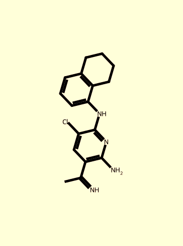 CC(=N)c1cc(Cl)c(Nc2cccc3c2CCCC3)nc1N